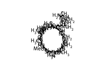 C=C(NC(=O)C(=C)NC(=O)C(=C)NC(=O)c1ccc2c(n1)-c1csc(n1)C(=C)NC(=O)C(=C)NC(=O)c1nc(oc1C)C(=CC)NC(=O)c1csc(n1)C(OC)NC(=O)c1nc(oc1C)C(=CC(C)O)NC(=O)[C@H]([C@@H](C)O)NC(=O)c1nc-2oc1C)C(N)=O